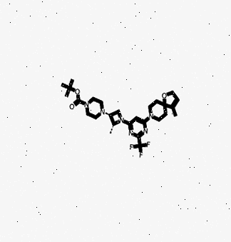 CC1=CCOC12CCN(c1cc(N3C[C@@H](N4CCN(C(=O)OC(C)(C)C)CC4)[C@H]3C)nc(C(F)(F)F)n1)CC2